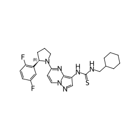 Fc1ccc(F)c([C@H]2CCCN2c2ccn3ncc(NC(=S)NCC4CCCCC4)c3n2)c1